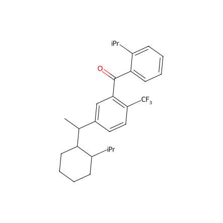 CC(C)c1ccccc1C(=O)c1cc(C(C)C2CCCCC2C(C)C)ccc1C(F)(F)F